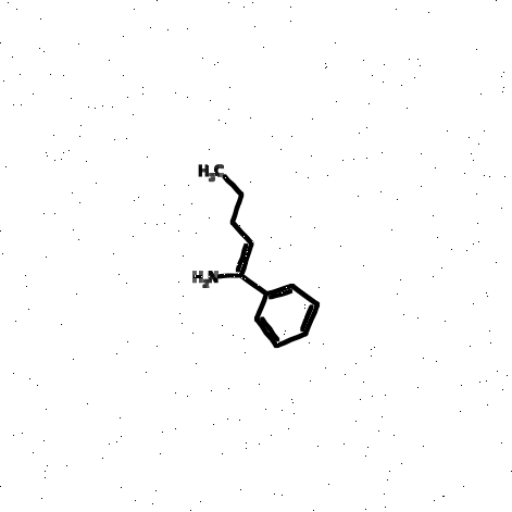 CCCC=C(N)c1ccccc1